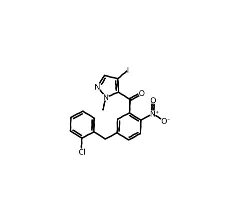 Cn1ncc(I)c1C(=O)c1cc(Cc2ccccc2Cl)ccc1[N+](=O)[O-]